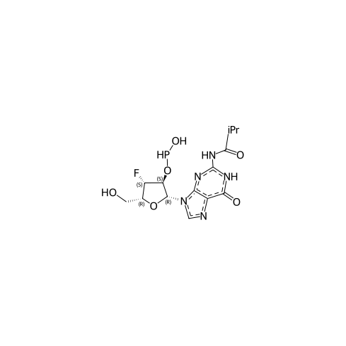 CC(C)C(=O)Nc1nc2c(ncn2[C@@H]2O[C@H](CO)[C@H](F)[C@H]2OPO)c(=O)[nH]1